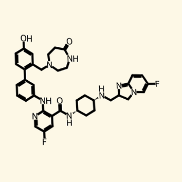 O=C1CCN(Cc2cc(O)ccc2-c2cccc(Nc3ncc(F)cc3C(=O)N[C@H]3CC[C@@H](NCC4CN5C=C(F)C=CC5=N4)CC3)c2)CCN1